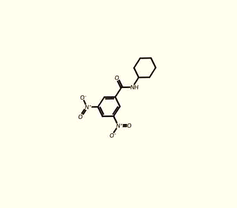 O=C(NC1CCCCC1)c1cc([N+](=O)[O-])cc([N+](=O)[O-])c1